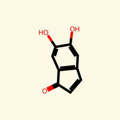 O=C1C=Cc2cc(O)c(O)cc21